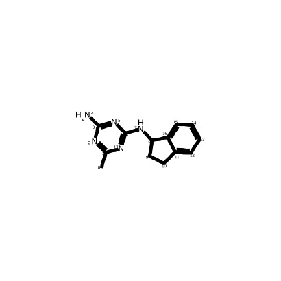 Cc1nc(N)nc(NC2CCc3ccccc32)n1